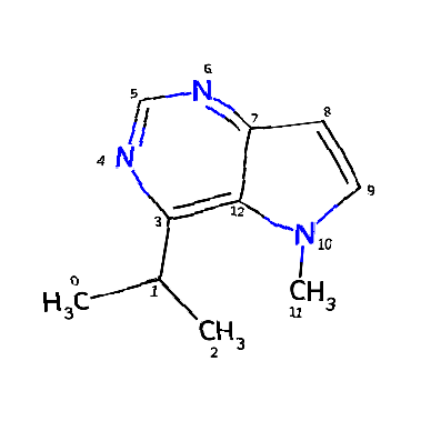 CC(C)c1ncnc2ccn(C)c12